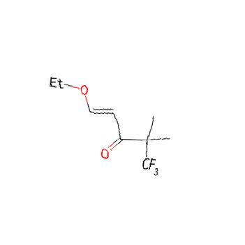 CCOC=CC(=O)C(C)(C)C(F)(F)F